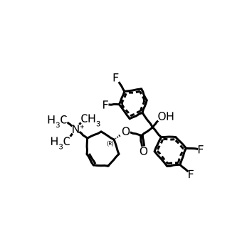 C[N+](C)(C)C1C=CCC[C@@H](OC(=O)C(O)(c2ccc(F)c(F)c2)c2ccc(F)c(F)c2)C1